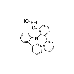 OBOc1cccc(-c2ccccc2)c1-n1c2ccccc2c2ccccc21